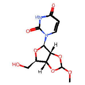 COC1O[C@@H]2[C@H](O1)[C@@H](CO)O[C@H]2n1ccc(=O)[nH]c1=O